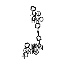 C[C@@H](C(=O)N1CCC[C@H]1C(=O)Nc1ccc(C#Cc2ccc(-c3cnc([C@@H]4CCCN4C(=O)[C@H](NC(=O)OC(C)(C)C)c4ccccc4)[nH]3)cc2)cc1)c1ccccc1